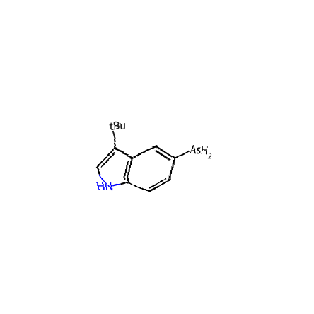 CC(C)(C)c1c[nH]c2ccc([AsH2])cc12